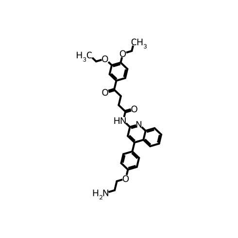 CCOc1ccc(C(=O)CCC(=O)Nc2cc(-c3ccc(OCCN)cc3)c3ccccc3n2)cc1OCC